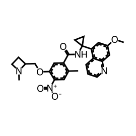 COc1cc(C2(NC(=O)c3cc(OCC4CCN4C)c([N+](=O)[O-])cc3C)CC2)c2cccnc2c1